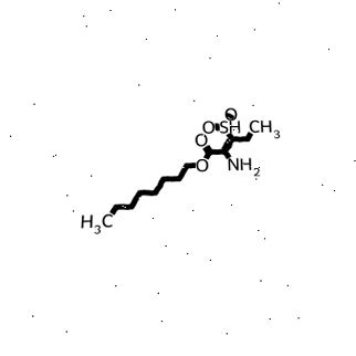 CCCCCCCCOC(=O)C(N)=C(CC)[SH](=O)=O